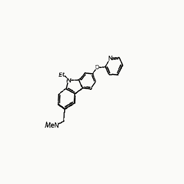 CCn1c2ccc(CNC)cc2c2ccc(Oc3ccccn3)cc21